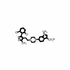 Cc1onc(-c2c(Cl)cccc2Cl)c1CCN1CCN(c2ccc3c(C(=O)O)cn(C)c3c2)CC1